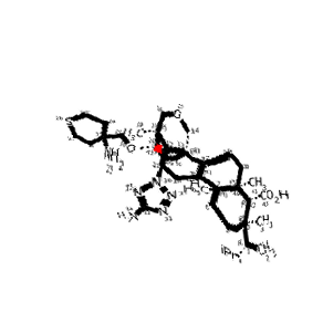 CC(C)[C@@H](C)[C@@]1(C)CC[C@]2(C)[C@H]3CC[C@@H]4[C@@]5(COC[C@]4(C)[C@@H](OCC4(N)CCSCC4)[C@H](n4nnc(N)n4)C5)C3=CC[C@@]2(C)[C@@H]1C(=O)O